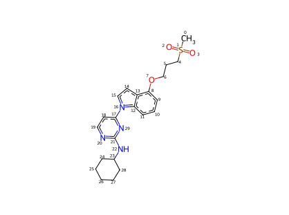 CS(=O)(=O)CCCOc1cccc2c1ccn2-c1ccnc(NC2CCCCC2)n1